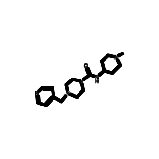 CN1CCC(NC(=O)N2CCN(Cc3ccncc3)CC2)CC1